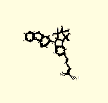 CC1(C)C2c3cc(/C=C/C=C(\C#N)C(=O)O)ccc3N(c3ccc4c(c3)Cc3ccccc3-4)C2C(C)(C)C1(C)C